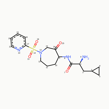 N[C@@H](CC1CC1)C(=O)NC1CCCN(S(=O)(=O)c2ccccn2)CC1=O